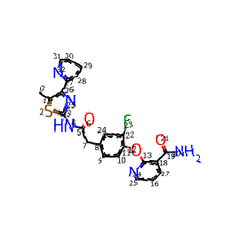 Cc1sc(NC(=O)Cc2ccc(Oc3ncccc3C(N)=O)c(F)c2)nc1-c1ccccn1